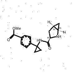 COC(=O)c1ccc(C2(NC(=O)[C@H]3C[C@H]4C[C@H]4N3)CC2)cc1